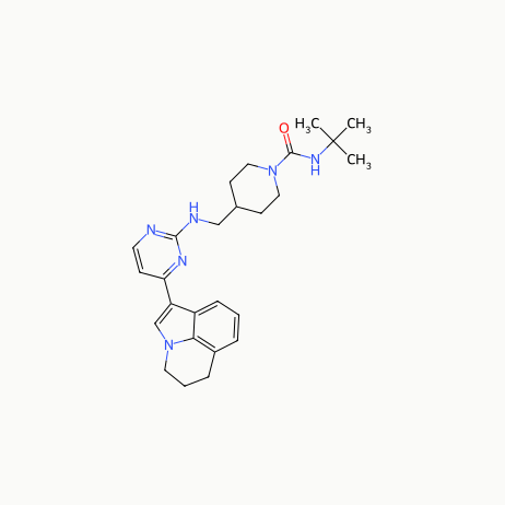 CC(C)(C)NC(=O)N1CCC(CNc2nccc(-c3cn4c5c(cccc35)CCC4)n2)CC1